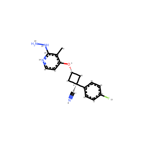 Cc1c(O[C@H]2C[C@](C#N)(c3ccc(F)cc3)C2)ccnc1NN